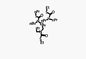 CCCCN(CC)C(=O)SCCC.CCCN(CCC)C(=O)SCC.CCSC(=O)N(CC(C)C)CC(C)C